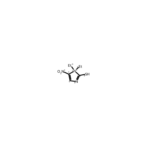 CC[N+]1(CC)C([N+](=O)[O-])=CN=C1S